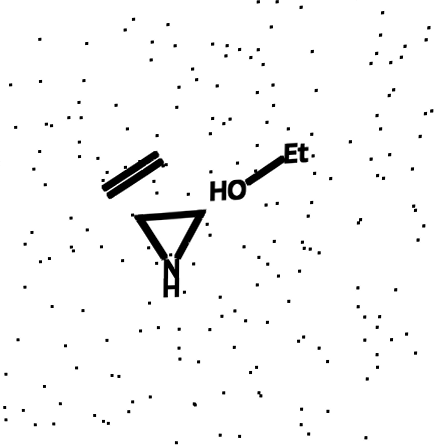 C1CN1.C=C.CCO